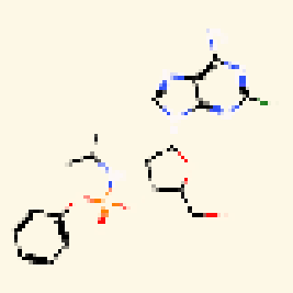 CCOC(=O)[C@H](C)NP(=O)(Oc1ccccc1)O[C@@H]1C[C@H](n2cnc3c(N)nc(Cl)nc32)OC1CO